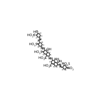 Nc1c(N=Nc2ccc3c(O)c(N=Nc4ccc(N=Nc5ccc(O)c(C(=O)O)c5)c(S(=O)(=O)O)c4)c(S(=O)(=O)O)cc3c2S(=O)(=O)O)cc(S(=O)(=O)O)c2ccc(N=Nc3ccc([N+](=O)[O-])cc3S(=O)(=O)O)c(O)c12